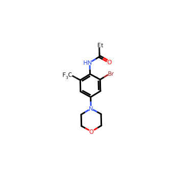 CCC(=O)Nc1c(Br)cc(N2CCOCC2)cc1C(F)(F)F